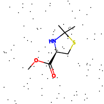 COC(=O)[C@@H]1CSC(C)(C)N1